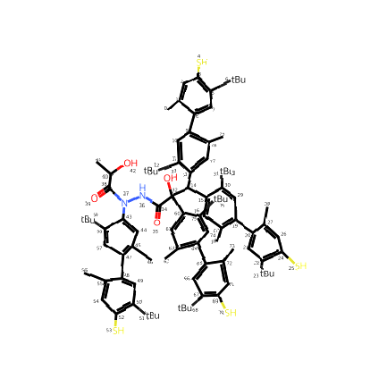 Cc1cc(S)c(C(C)(C)C)cc1-c1cc(C(C)(C)C)c(C(c2cc(C)c(-c3cc(C(C)(C)C)c(S)cc3C)cc2C(C)(C)C)C(O)(C(=O)NN(C(=O)C(C)O)c2cc(C)c(-c3cc(C(C)(C)C)c(S)cc3C)cc2C(C)(C)C)c2cc(C)c(-c3cc(C(C)(C)C)c(S)cc3C)cc2C(C)(C)C)cc1C